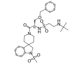 CC(C)(C)NCCS(=O)(=O)N[C@H](COCc1ccccc1)C(=O)N1CCC2(CC1)CN(S(C)(=O)=O)c1ccccc12